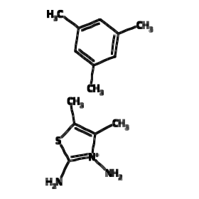 Cc1cc(C)cc(C)c1.Cc1sc(N)[n+](N)c1C